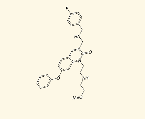 COCCNCCn1c(=O)c(CNCc2ccc(F)cc2)cc2ccc(Oc3ccccc3)cc21